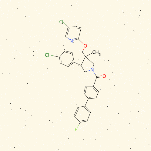 CC1(COc2ccc(Cl)cn2)CN(C(=O)c2ccc(-c3ccc(F)cc3)cc2)CC1c1ccc(Cl)cc1